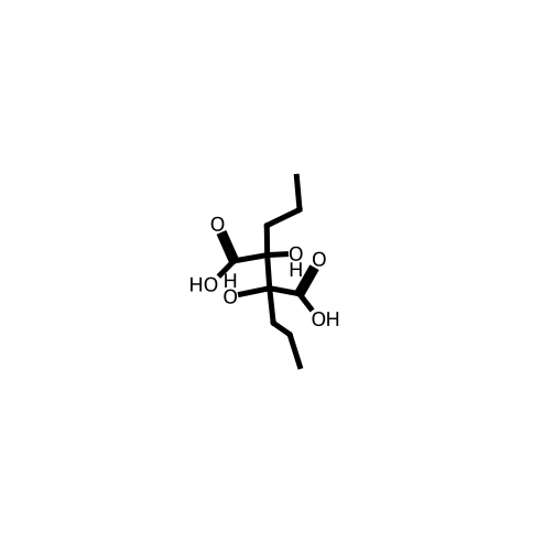 CCCC(O)(C(=O)O)C(O)(CCC)C(=O)O